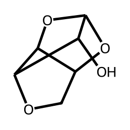 OC1C2OC3COC1C3O2